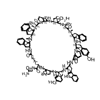 CCCC[C@H]1C(=O)N2CCC[C@H]2C(=O)N[C@@H](CC(=O)O)C(=O)N[C@@H](C(C)C)C(=O)N(C)[C@@H](Cc2ccccc2)C(=O)N[C@@H](Cc2ccc(O)cc2)C(=O)N2CCC[C@H]2C(=O)N[C@@H](Cc2c[nH]c3ccccc23)C(=O)N[C@H](Cc2ccc(O)cc2)C(=O)N[C@@H](CC(C)C)C(=O)N[C@H](C(=O)NCC(N)=O)CSCC(=O)NC(Cc2ccccc2)C(=O)N(C)[C@@H](Cc2ccccc2)C(=O)N1C